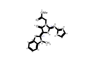 COC(=O)CN1C(=O)/C(=C2\Sc3ccccc3N2C)S/C1=N\c1nccs1